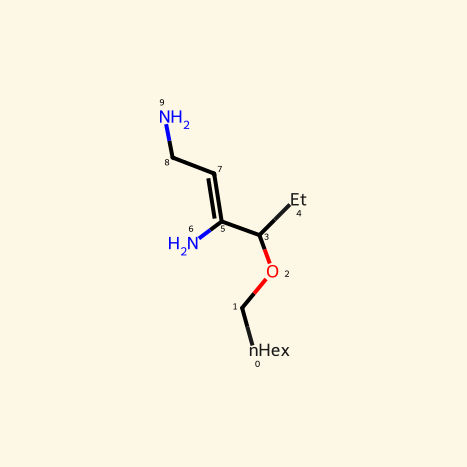 CCCCCCCOC(CC)C(N)=CCN